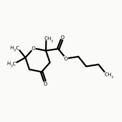 CCCCOC(=O)C1(C)CC(=O)CC(C)(C)O1